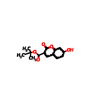 CC(C)(C)OC(=O)c1cc2ccc(O)cc2oc1=O